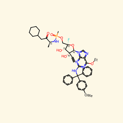 C#C[C@]1(O)[C@H](n2cnc3c(OCC)nc(NC(c4ccccc4)(c4ccccc4)c4ccc(OC)cc4)nc32)O[C@](F)(COP(C)(=O)N[C@@H](C)C(=O)CC2CCCCC2)[C@H]1O